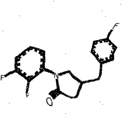 O=C1CC(Cc2ccc(F)cc2)CN1c1cccc(F)c1F